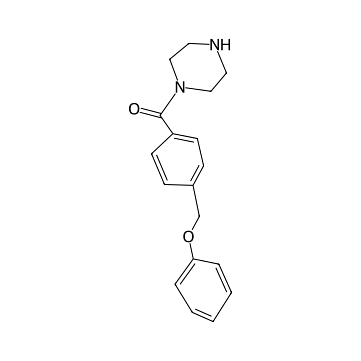 O=C(c1ccc(COc2ccccc2)cc1)N1CCNCC1